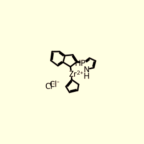 C1=CC[C]([Zr+2][CH]2C([PH]3=CC=CN3)=Cc3ccccc32)=C1.[Cl-].[Cl-]